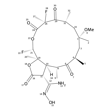 CO[C@]1(C)C[C@@H](C)C(=O)[C@H](C)[C@H]2[C@H](/C(N)=N/O)C(=O)O[C@@]2(C)[C@H](F)OC(=O)[C@@](C)(F)C(=O)[C@H](C)C1